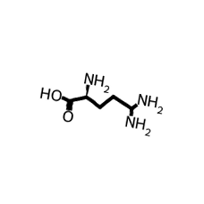 NC(N)CC[C@H](N)C(=O)O